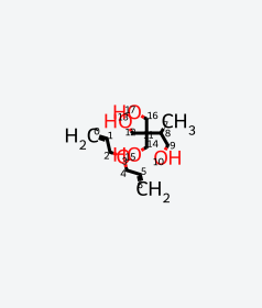 C=CCOCC=C.CC(CO)C(CO)(CO)CO